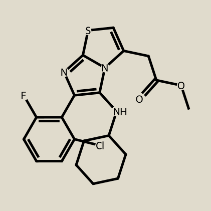 COC(=O)Cc1csc2nc(-c3c(F)cccc3Cl)c(NC3CCCCC3)n12